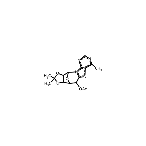 CC(=O)OC1c2nc3c(C)ncnc3n2C2OC1C1OC(C)(C)OC12